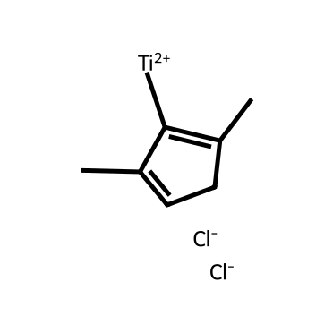 CC1=CCC(C)=[C]1[Ti+2].[Cl-].[Cl-]